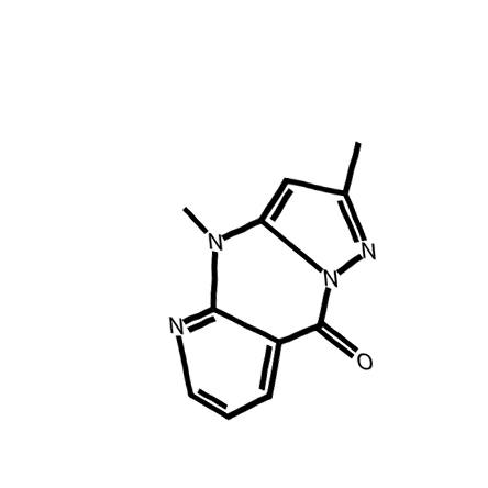 Cc1cc2n(C)c3ncccc3c(=O)n2n1